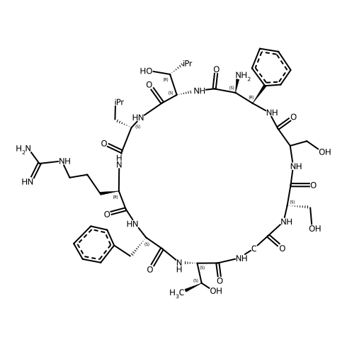 CC(C)C[C@@H]1NC(=O)[C@H]([C@H](O)C(C)C)NC(=O)[C@@H](N)[C@@H](c2ccccc2)NC(=O)C(CO)NC(=O)[C@H](CO)NC(=O)CNC(=O)[C@H]([C@H](C)O)NC(=O)[C@H](Cc2ccccc2)NC(=O)[C@@H](CCCNC(=N)N)NC1=O